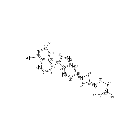 Cc1cc(F)c2nccc(-c3cnn4cc(N5CC(N6CCN(C)CC6)C5)cnc34)c2c1